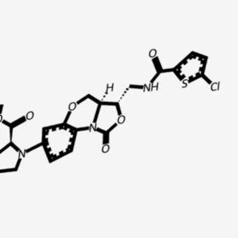 COC(=O)[C@@H]1CCCN1c1ccc2c(c1)OC[C@H]1[C@H](CNC(=O)c3ccc(Cl)s3)OC(=O)N21